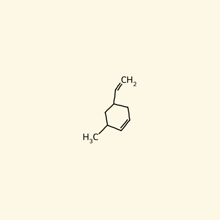 C=CC1CC=CC(C)C1